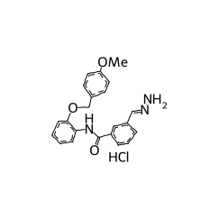 COc1ccc(COc2ccccc2NC(=O)c2cccc(C=NN)c2)cc1.Cl